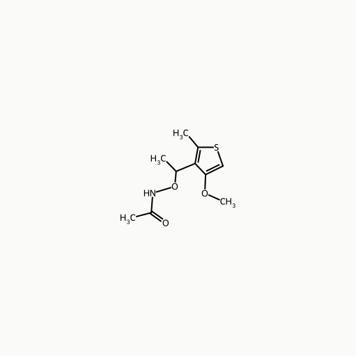 COc1csc(C)c1C(C)ONC(C)=O